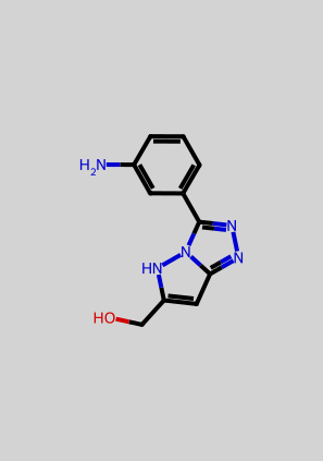 Nc1cccc(-c2nnc3cc(CO)[nH]n23)c1